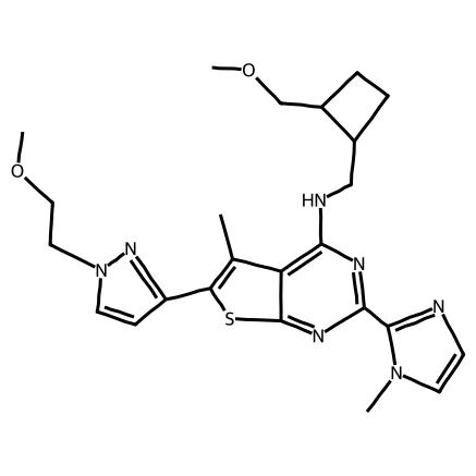 COCCn1ccc(-c2sc3nc(-c4nccn4C)nc(NCC4CCC4COC)c3c2C)n1